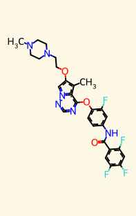 Cc1c(OCCN2CCN(C)CC2)cn2ncnc(Oc3ccc(NC(=O)c4cc(F)c(F)cc4F)cc3F)c12